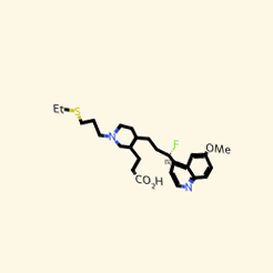 CCSCCCN1CCC(CC[C@H](F)c2ccnc3ccc(OC)cc23)C(CCC(=O)O)C1